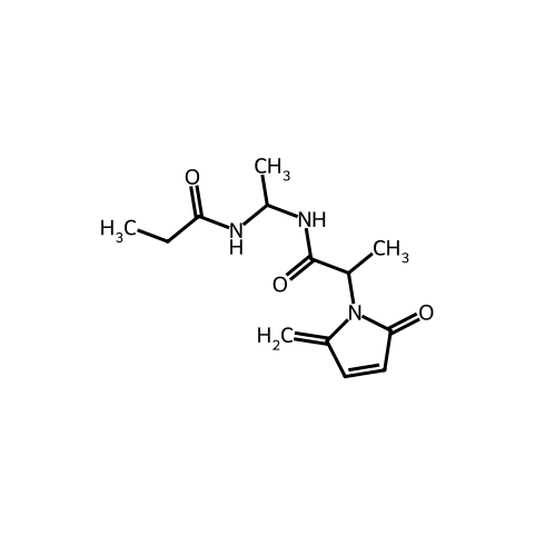 C=C1C=CC(=O)N1C(C)C(=O)NC(C)NC(=O)CC